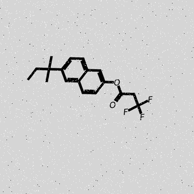 CCC(C)(C)c1ccc2cc(OC(=O)CC(F)(F)F)ccc2c1